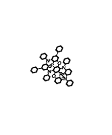 S=P12c3c4cccc3N(c3ccccc3)c3cccc(c31)N(c1ccccc1)c1c3c5c(c(c12)O4)N(c1ccccc1)c1cc(-c2ccccc2)cc2c1P5(=S)c1c(cc(-c4ccccc4)cc1N2c1ccccc1)O3